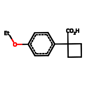 CCOc1ccc(C2(C(=O)O)CCC2)cc1